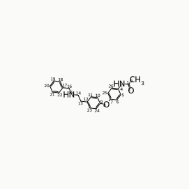 CC(=O)Nc1ccc(Oc2ccc(CCNCc3ccccc3)cc2)cc1